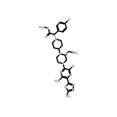 CC[C@H]1CN(c2nc(N)c(-c3nnc(C)o3)nc2Cl)CCN1C1CCN([C@H](C(=O)OC)c2ccc(Cl)cc2)CC1